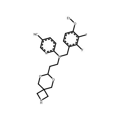 CCOc1ccc(CN(CCC2OCC3(CNC3)CO2)c2ccc(C#N)cn2)c(F)c1F